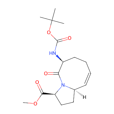 COC(=O)[C@@H]1CC[C@@H]2/C=C\CC[C@H](NC(=O)OC(C)(C)C)C(=O)N21